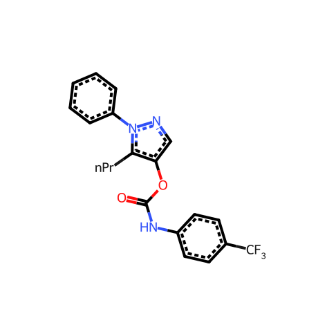 CCCc1c(OC(=O)Nc2ccc(C(F)(F)F)cc2)cnn1-c1ccccc1